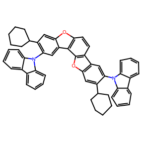 c1ccc2c(c1)c1ccccc1n2-c1cc2c(cc1C1CCCCC1)oc1c2ccc2oc3cc(C4CCCCC4)c(-n4c5ccccc5c5ccccc54)cc3c21